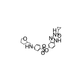 O=C(Nc1nc2cc(OS(=O)(=O)c3ccc(NCC4CCCO4)cc3)ccc2[nH]1)C1CC1